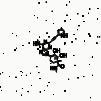 CNC(=O)C1(C)CCC(n2cnc3c(NC)nc(C#Cc4ccc[nH]4)nc32)=C(O)[C@@H]1O